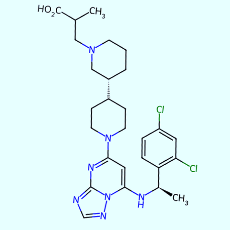 CC(CN1CCC[C@H](C2CCN(c3cc(N[C@H](C)c4ccc(Cl)cc4Cl)n4ncnc4n3)CC2)C1)C(=O)O